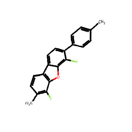 Cc1ccc(-c2ccc3c(oc4c(F)c(C)ccc43)c2F)cc1